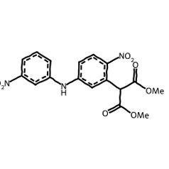 COC(=O)C(C(=O)OC)c1cc(Nc2cccc([N+](=O)[O-])c2)ccc1[N+](=O)[O-]